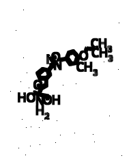 Cc1cc(-c2nc(-c3ccc4oc(C(N)(CO)CO)cc4c3)no2)ccc1OCC(C)C